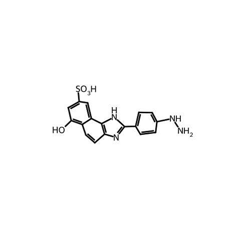 NNc1ccc(-c2nc3ccc4c(O)cc(S(=O)(=O)O)cc4c3[nH]2)cc1